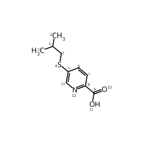 CC(C)CSc1ccc(C(=O)O)nc1